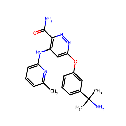 Cc1cccc(Nc2cc(Oc3cccc(C(C)(C)N)c3)nnc2C(N)=O)n1